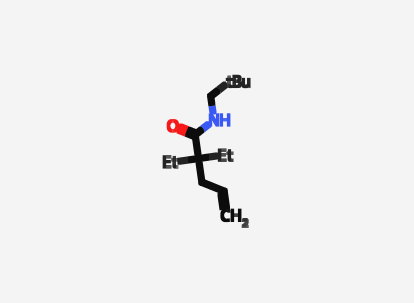 C=CCC(CC)(CC)C(=O)NCC(C)(C)C